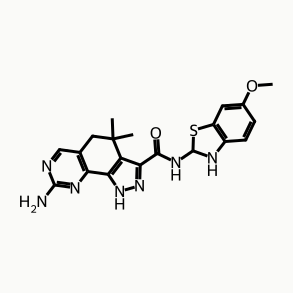 COc1ccc2c(c1)SC(NC(=O)c1n[nH]c3c1C(C)(C)Cc1cnc(N)nc1-3)N2